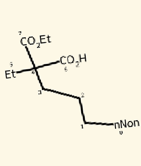 CCCCCCCCCCCCC(CC)(C(=O)O)C(=O)OCC